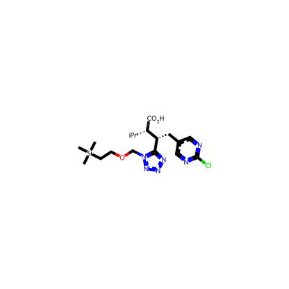 CC(C)[C@H](C(=O)O)[C@H](Cc1cnc(Cl)nc1)c1nnnn1COCC[Si](C)(C)C